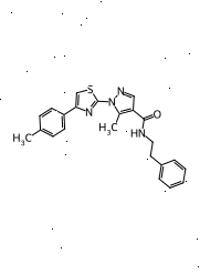 Cc1ccc(-c2csc(-n3ncc(C(=O)NCCc4ccccc4)c3C)n2)cc1